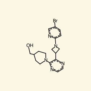 OCC1CCN(c2nccnc2C2CN(c3ccc(Br)cn3)C2)CC1